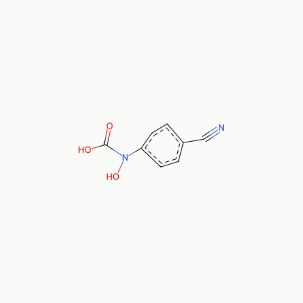 N#Cc1ccc(N(O)C(=O)O)cc1